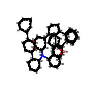 c1ccc(-c2ccc(-c3ccccc3N(c3cccc(-c4cccc(-c5ccccc5)c4-c4ccccc4-c4ccccc4)c3)c3cccc4oc5ccccc5c34)cc2)cc1